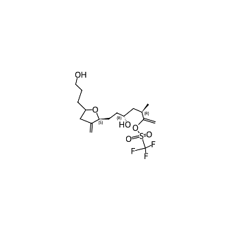 C=C(OS(=O)(=O)C(F)(F)F)[C@H](C)C[C@H](O)CC[C@@H]1OC(CCCO)CC1=C